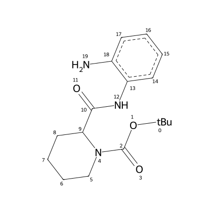 CC(C)(C)OC(=O)N1CCCCC1C(=O)Nc1ccccc1N